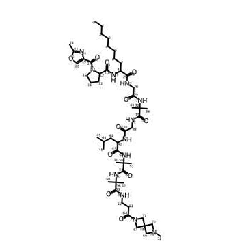 CCCCCCCCC(NC(=O)C1CCCN1C(=O)c1coc(C)n1)C(=O)NCC(=O)NC(C)(C)C(=O)NCC(=O)NC(CC(C)C)C(=O)NC(C)(C)C(=O)NC(C)(C)C(=O)NCCC(=O)N1CC2(CN(C)C2)C1